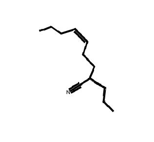 CCC/C=C\CCC(C#N)CCC